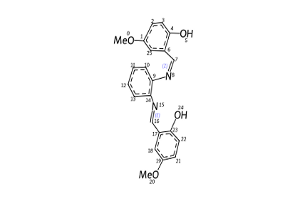 COc1ccc(O)c(/C=N\c2ccccc2/N=C/c2cc(OC)ccc2O)c1